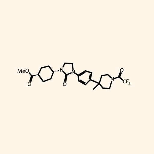 COC(=O)[C@H]1CC[C@H](N2CCN(c3ccc(C4(C)CCN(C(=O)C(F)(F)F)CC4)cc3)C2=O)CC1